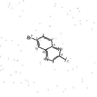 Brc1ccc2nc(I)cnc2c1